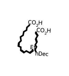 CC/C=C\C/C=C\C/C=C\CCCCCCCC(=O)O.CCCCCCCCCCCCCC=CC=CC(=O)O